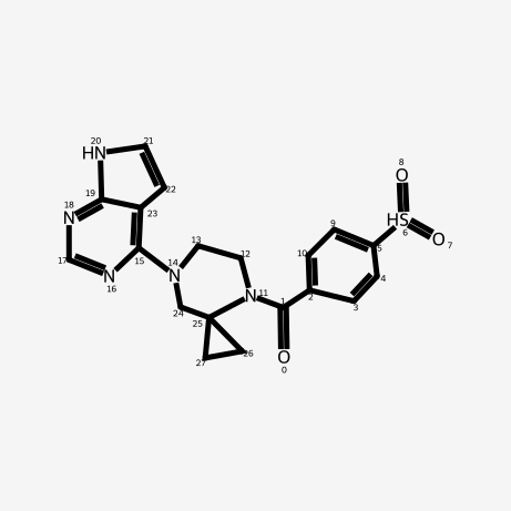 O=C(c1ccc([SH](=O)=O)cc1)N1CCN(c2ncnc3[nH]ccc23)CC12CC2